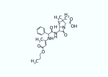 CCCOC(=O)/C=C(\C)NC(C(=O)NC1C(=O)N2[C@@H]1SC(C)(C)[C@@H]2C(=O)O)c1ccccc1